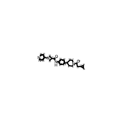 O=C(Nc1ccc(C2CCN(C(=O)CC3CC3)CC2)cc1)C1CN(c2ccnnc2)C1